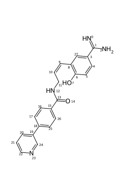 N=C(N)c1ccc(O)c(/C=C\CNC(=O)c2ccc(-c3cccnc3)cc2)c1